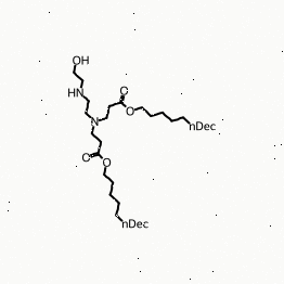 CCCCCCCCCCCCCCCOC(=O)CCN(CCNCCO)CCC(=O)OCCCCCCCCCCCCCCC